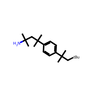 CC(C)(C)CC(C)(C)c1ccc(C(C)(C)CC(C)(C)N)cc1